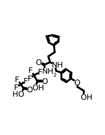 NC(=O)C(CCc1ccccc1)NCc1ccc(OCCO)cc1.O=C(O)C(F)(F)F.O=C(O)C(F)(F)F